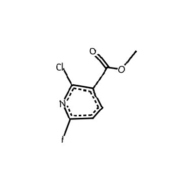 COC(=O)c1ccc(I)nc1Cl